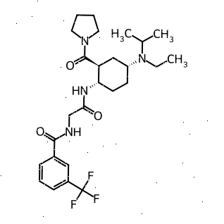 CCN(C(C)C)[C@@H]1CC[C@H](NC(=O)CNC(=O)c2cccc(C(F)(F)F)c2)[C@@H](C(=O)N2CCCC2)C1